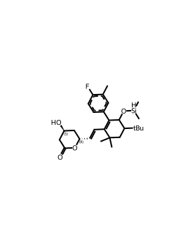 Cc1cc(C2=C(C=C[C@H]3C[C@H](O)CC(=O)O3)C(C)(C)CC(C(C)(C)C)C2O[SiH](C)C)ccc1F